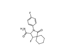 NC(=O)C1C(F)C2(C[CH]CCC2)C(=O)N1c1ccc(F)cc1